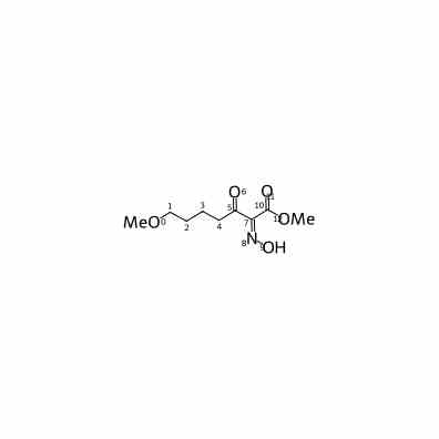 COCCCCC(=O)C(=NO)C(=O)OC